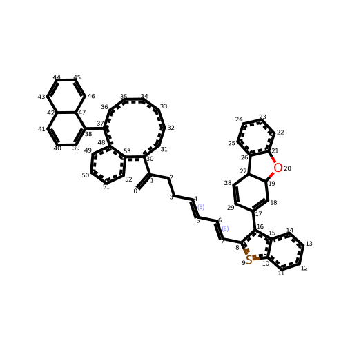 C=C(CC/C=C/C=C/c1sc2ccccc2c1C1=CC2Oc3ccccc3C2C=C1)c1ccccccc(C2=CC=CC3C=CC=CC23)c2ccccc12